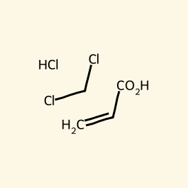 C=CC(=O)O.Cl.ClCCl